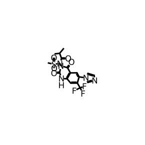 CC(C)C(=O)N(n1c(=O)[nH]c2cc(C(F)(F)F)c(-n3ccnc3)cc2c1=O)S(C)(=O)=O